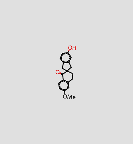 COc1ccc2c(c1)CCC1(Cc3ccc(O)cc3C1)C2=O